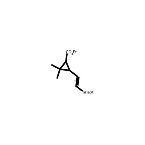 CCCCCCC/C=C/C1C(C(=O)OCC)C1(C)C